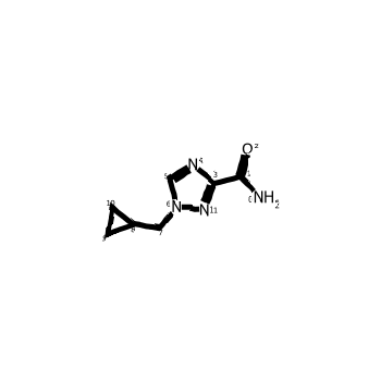 NC(=O)c1ncn(CC2CC2)n1